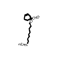 CCCCCCCCCCCCCCCCCCOC1([C]=O)C=CC=CC1